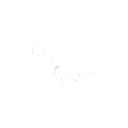 C=C(CP(=O)(OC)C(C)NC(=O)OCc1ccccc1)C(=O)OC